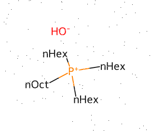 CCCCCCCC[P+](CCCCCC)(CCCCCC)CCCCCC.[OH-]